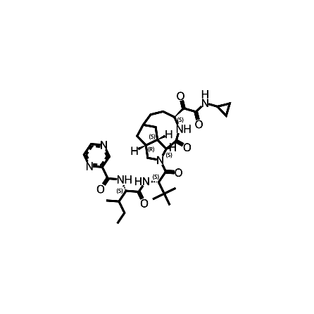 CCC(C)[C@H](NC(=O)c1cnccn1)C(=O)N[C@H](C(=O)N1C[C@@H]2CC3CC[C@@H](C(=O)C(=O)NC4CC4)NC(=O)[C@@H]1[C@H]2C3)C(C)(C)C